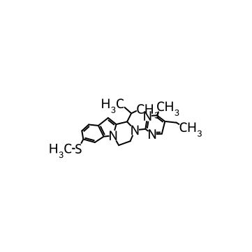 CCc1cnc(N2CCn3c(cc4ccc(SC)cc43)C2C(C)C)nc1C